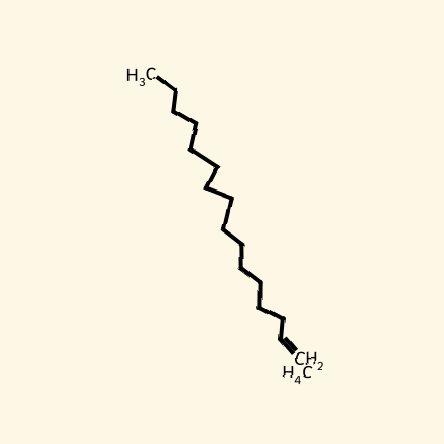 C.C=CCCCCCCCCCCCCCC